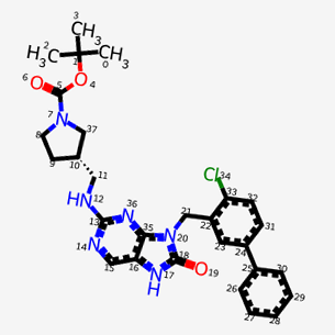 CC(C)(C)OC(=O)N1CC[C@@H](CNc2ncc3[nH]c(=O)n(Cc4cc(-c5ccccc5)ccc4Cl)c3n2)C1